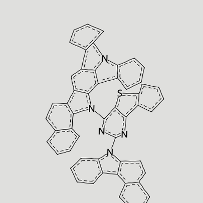 c1ccc2c(c1)ccc1c2c2ccccc2n1-c1nc(-n2c3c4ccccc4ccc3c3cc4c5ccccc5n5c6ccccc6c(c32)c45)c2sc3ccccc3c2n1